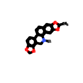 CCN1Cc2c(ccc3c2OCO3)-c2ccc3cc4c(cc3c21)OC(C)O4